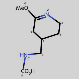 COC1=NCCC(CNC(=O)O)C1